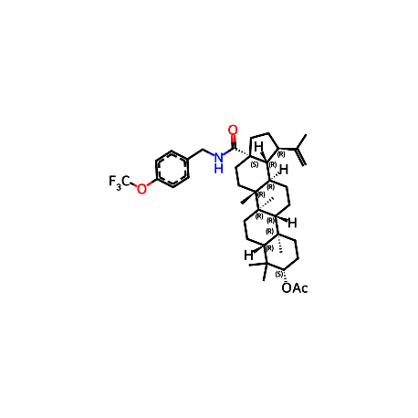 C=C(C)[C@@H]1CC[C@]2(C(=O)NCc3ccc(OC(F)(F)F)cc3)CC[C@]3(C)[C@H](CC[C@@H]4[C@@]5(C)CC[C@H](OC(C)=O)C(C)(C)[C@@H]5CC[C@]43C)[C@@H]12